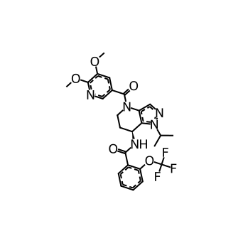 COc1cc(C(=O)N2CC[C@H](NC(=O)c3ccccc3OC(F)(F)F)c3c2cnn3C(C)C)cnc1OC